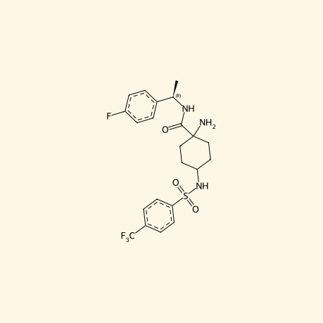 C[C@@H](NC(=O)C1(N)CCC(NS(=O)(=O)c2ccc(C(F)(F)F)cc2)CC1)c1ccc(F)cc1